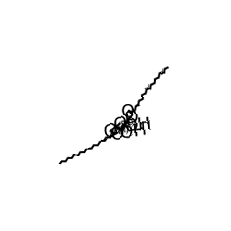 CCCCCCCCCCCCCCCCCC(=O)OC[C@@H](O)[C@H]1OC[C@H](OC(=O)CCCCCCCCCCCCCCCCC)[C@H]1O